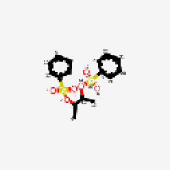 CC(OS(=O)(=O)c1ccccc1)C(C)OS(=O)(=O)c1ccccc1